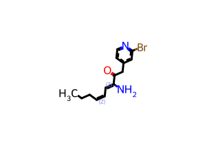 CCC/C=C\C=C(/N)C(=O)Cc1ccnc(Br)c1